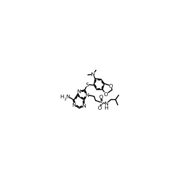 CC(C)CNS(=O)(=O)CCn1c(Sc2cc3c(cc2N(C)C)OCO3)nc2c(N)ncnc21